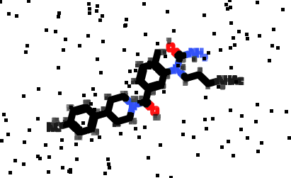 CC(=O)NCCCN(C(N)=O)c1cc(C(=O)N2CCC(c3ccc(C#N)cc3)CC2)ccc1C